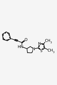 Cc1nc(N2CCC(NC(=O)C#Cc3ccccc3)C2)sc1C